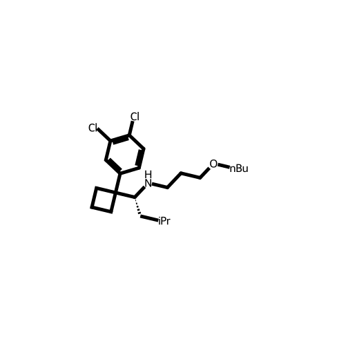 CCCCOCCCN[C@H](CC(C)C)C1(c2ccc(Cl)c(Cl)c2)CCC1